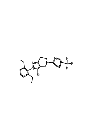 CCc1cccc(CC)c1-n1nc2c(c1Br)CN(c1ccc(C(F)(F)F)cn1)CC2